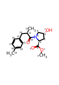 COC(=O)[C@@H]1C[C@@H](O)CN1C(=O)[C@H](C)Cc1ccc(C)cc1